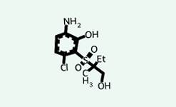 CCC(C)(CO)S(=O)(=O)c1c(Cl)ccc(N)c1O